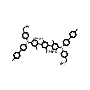 CCCCCCc1cc(-c2ccc(N(c3ccc(CC(C)C)cc3)c3ccc(-c4ccc(C)cc4)cc3)cc2C)c(CCCCCC)cc1-c1ccc(N(c2ccc(CC(C)C)cc2)c2ccc(-c3ccc(C)cc3)cc2)cc1C